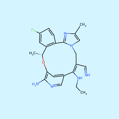 CCN/C1=C(\C=N)Cn2cc(C)nc2-c2ccc(F)cc2[C@@H](C)Oc2cc1cnc2N